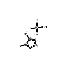 CS(=O)(=O)O.Cn1cncc1Br